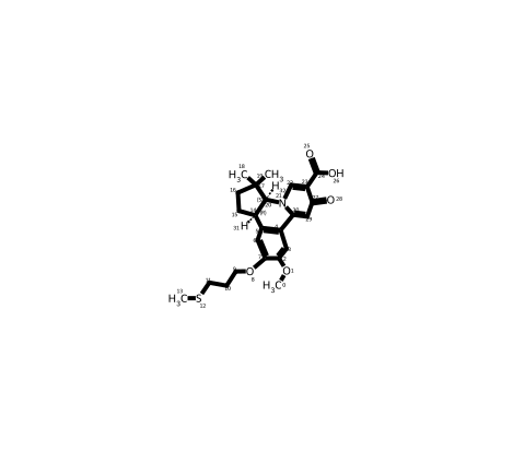 COc1cc2c(cc1OCCCSC)[C@H]1CCC(C)(C)[C@H]1n1cc(C(=O)O)c(=O)cc1-2